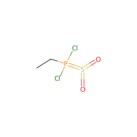 CCP(Cl)(Cl)=S(=O)=O